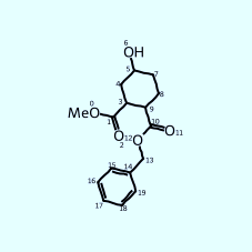 COC(=O)C1CC(O)CCC1C(=O)OCc1ccccc1